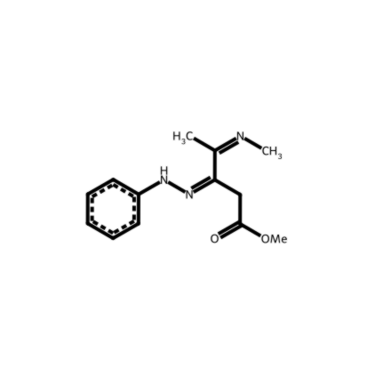 C/N=C(C)\C(CC(=O)OC)=N/Nc1ccccc1